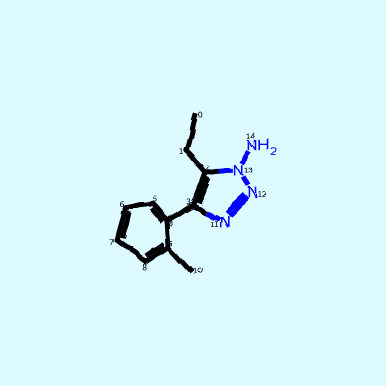 CCc1c(-c2ccccc2C)nnn1N